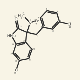 CC(C)N(C)C1(Cc2cccc(Cl)c2)C(=O)Nc2cc(Cl)ccc21